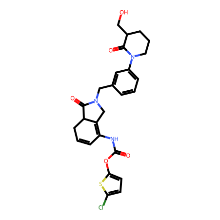 O=C(NC1=C2CN(Cc3cccc(N4CCCC(CO)C4=O)c3)C(=O)C2CC=C1)Oc1ccc(Cl)s1